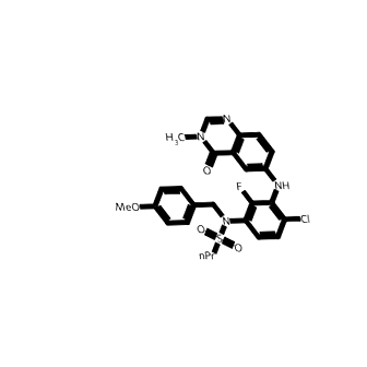 CCCS(=O)(=O)N(Cc1ccc(OC)cc1)c1ccc(Cl)c(Nc2ccc3ncn(C)c(=O)c3c2)c1F